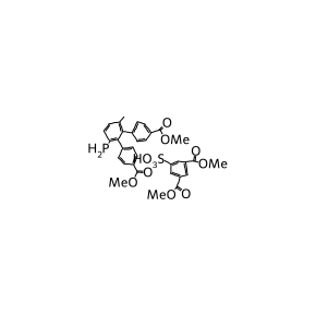 COC(=O)c1cc(C(=O)OC)cc(S(=O)(=O)O)c1.COC(=O)c1ccc(-c2c(C)ccc(P)c2-c2ccc(C(=O)OC)cc2)cc1